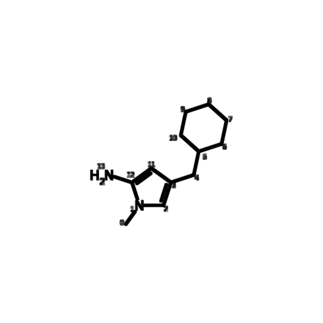 Cn1cc(CC2CCCCC2)cc1N